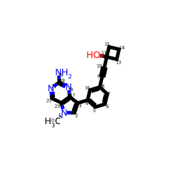 Cn1cc(-c2cccc(C#CC3(O)CCC3)c2)c2nc(N)ncc21